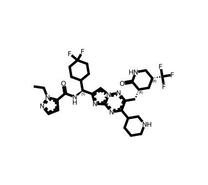 CCn1nccc1C(=O)N[C@H](c1cn2nc(C[C@H]3C[C@@H](C(F)(F)F)CNC3=O)c(C3CCCNC3)nc2n1)C1CCC(F)(F)CC1